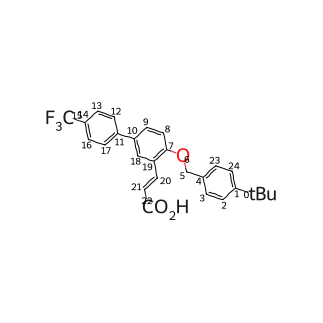 CC(C)(C)c1ccc(COc2ccc(-c3ccc(C(F)(F)F)cc3)cc2/C=C/C(=O)O)cc1